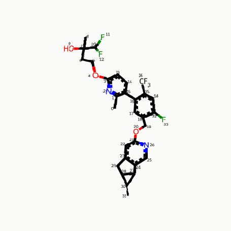 Cc1nc(OCCC(C)(O)C(F)F)ccc1-c1cc(COc2cc3c(cn2)C2C(C3)[C@@H]2C)c(F)cc1C(F)(F)F